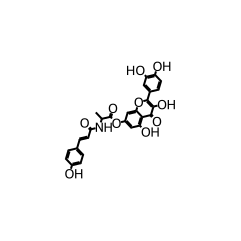 CC(NC(=O)/C=C/c1ccc(O)cc1)C(=O)Oc1cc(O)c2c(=O)c(O)c(-c3ccc(O)c(O)c3)oc2c1